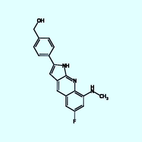 CNc1cc(F)cc2cc3cc(-c4ccc(CO)cc4)[nH]c3nc12